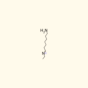 CC/N=C/CCCCCCN